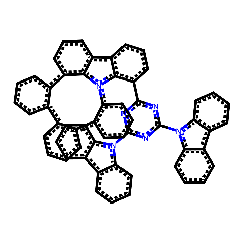 c1ccc2c(c1)c1ccccc1c1cccc3c4cccc(-c5nc(-n6c7ccccc7c7ccccc76)nc(-n6c7ccccc7c7ccccc76)n5)c4n(c4ccccc24)c13